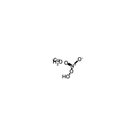 O.O=[N+]([O-])OO.[Cu]